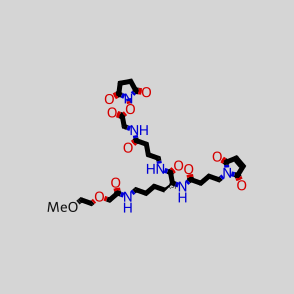 COCCOCC(=O)NCCCC[C@H](NC(=O)CCCN1C(=O)C=CC1=O)C(=O)NCCCC(=O)NCC(=O)ON1C(=O)CCC1=O